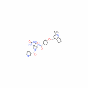 Cc1cc(COc2ccc(C(=O)N[C@@H]3CN(C(=O)c4cccnc4)C[C@]34NC(=O)NC4=O)cc2)c2ccccc2n1